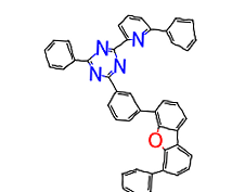 c1ccc(-c2cccc(-c3nc(-c4ccccc4)nc(-c4cccc(-c5cccc6c5oc5c(-c7ccccc7)cccc56)c4)n3)n2)cc1